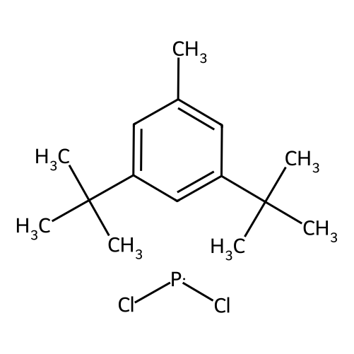 Cc1cc(C(C)(C)C)cc(C(C)(C)C)c1.Cl[P]Cl